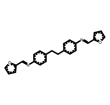 C(=Nc1ccc(CCc2ccc(/N=C/c3ccco3)cc2)cc1)c1ccco1